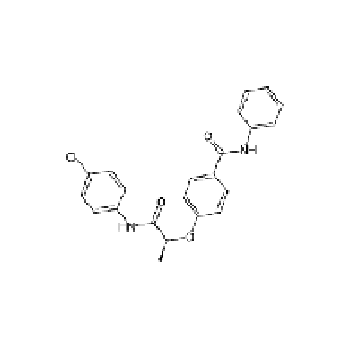 C[C@H](Oc1ccc(C(=O)Nc2ccccc2)cc1)C(=O)Nc1ccc(Cl)cc1